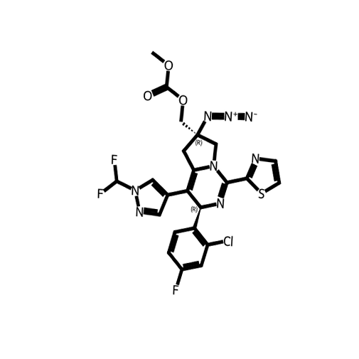 COC(=O)OC[C@@]1(N=[N+]=[N-])CC2=C(c3cnn(C(F)F)c3)[C@H](c3ccc(F)cc3Cl)N=C(c3nccs3)N2C1